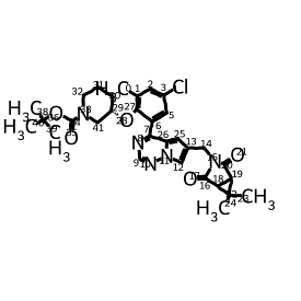 Cc1cc(Cl)cc(-c2ncnn3cc(CN4C(=O)C5C(C4=O)C5(C)C)cc23)c1O[C@H]1CCCN(C(=O)OC(C)(C)C)C1